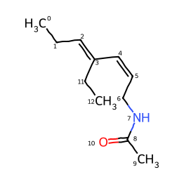 CC/C=C(/C=C\CNC(C)=O)CC